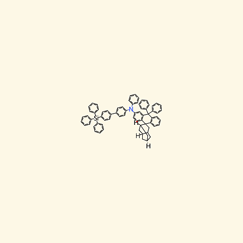 c1ccc(N(c2ccc(-c3ccc([Si](c4ccccc4)(c4ccccc4)c4ccccc4)cc3)cc2)c2ccc3c(c2)C(c2ccccc2)(c2ccccc2)c2ccccc2C32CC3C[C@H]4C[C@@H]3C[C@H]2C4)cc1